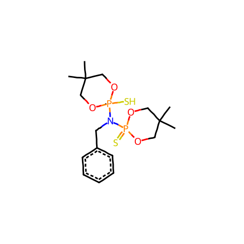 CC1(C)CO[P](S)(N(Cc2ccccc2)P2(=S)OCC(C)(C)CO2)OC1